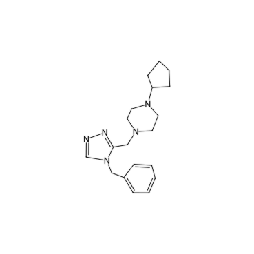 c1ccc(Cn2cnnc2CN2CCN(C3CCCC3)CC2)cc1